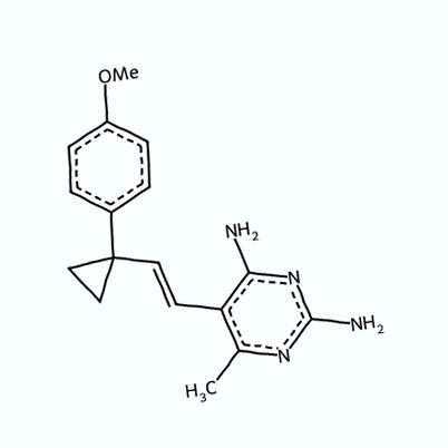 COc1ccc(C2(C=Cc3c(C)nc(N)nc3N)CC2)cc1